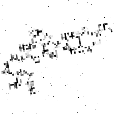 C[C@H](NC(=O)c1ncnc2c1CC(=O)N2)c1cc(-c2nc3ccc(C(F)(F)F)cc3[nH]2)no1